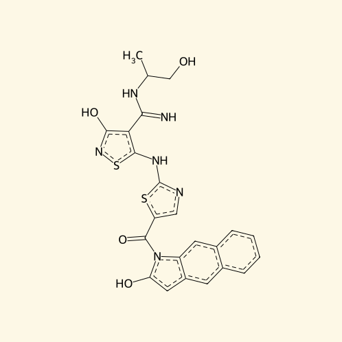 CC(CO)NC(=N)c1c(O)nsc1Nc1ncc(C(=O)n2c(O)cc3cc4ccccc4cc32)s1